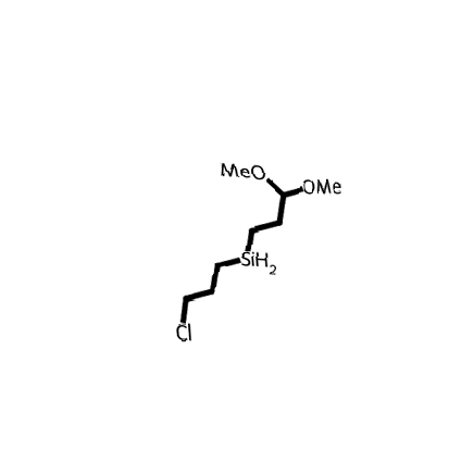 COC(CC[SiH2]CCCCl)OC